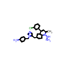 C=C1C=C(c2cccc(Cl)c2)c2cc(Cc3cncn3Cc3ccc(N)cc3)ccc2N1NN